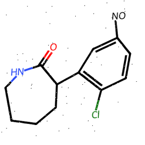 O=Nc1ccc(Cl)c(C2CCCCNC2=O)c1